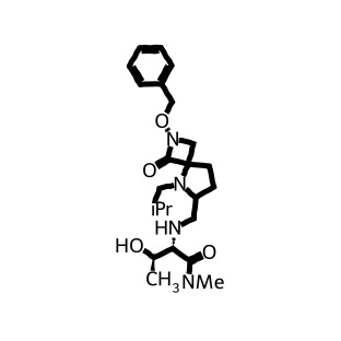 CNC(=O)[C@@H](NCC1CCC2(CN(OCc3ccccc3)C2=O)N1CC(C)C)[C@@H](C)O